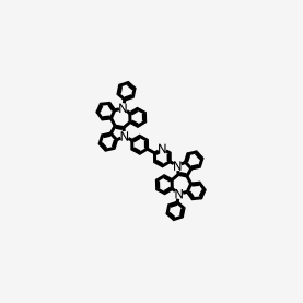 c1ccc(N2c3ccccc3-c3c(n(-c4ccc(-c5ccc(-n6c7c(c8ccccc86)-c6ccccc6N(c6ccccc6)c6ccccc6-7)cn5)cc4)c4ccccc34)-c3ccccc32)cc1